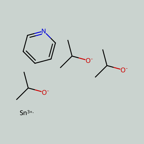 CC(C)[O-].CC(C)[O-].CC(C)[O-].[Sn+3].c1ccncc1